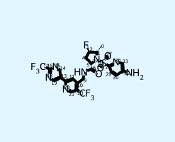 C[C@H]1[C@H](F)C[C@@H](C(=O)NCc2cc(-c3cnc(C(F)(F)F)nc3)ncc2C(F)(F)F)N1S(=O)(=O)c1ccc(N)cn1